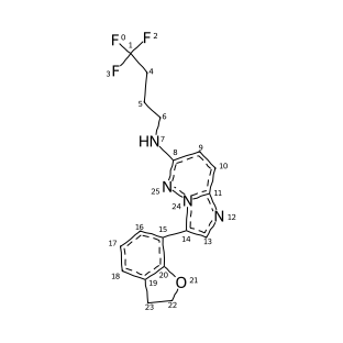 FC(F)(F)CCCNc1ccc2ncc(-c3cccc4c3OCC4)n2n1